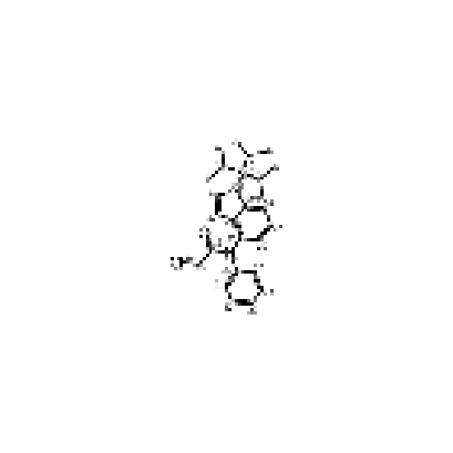 CC(C)[Si](C(C)C)(C(C)C)n1ccc2c(N(C(=O)CCl)c3ccccc3)cccc21